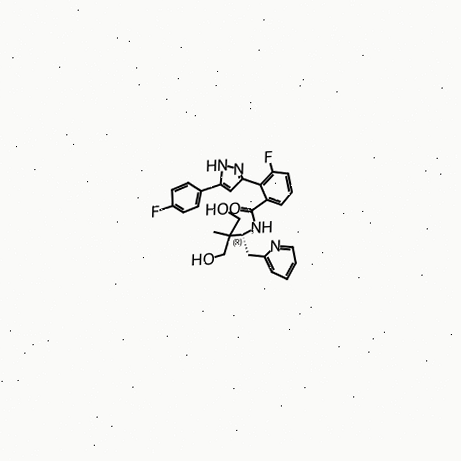 CC(CO)(CO)[C@@H](Cc1ccccn1)NC(=O)c1cccc(F)c1-c1cc(-c2ccc(F)cc2)[nH]n1